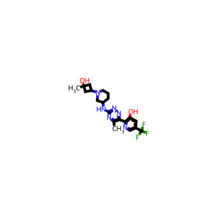 Cc1nc(NC2CCCN(C3CC(C)(O)C3)C2)nnc1-c1ncc(C(F)(F)F)cc1O